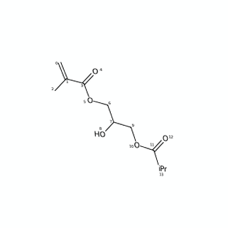 C=C(C)C(=O)OCC(O)COC(=O)C(C)C